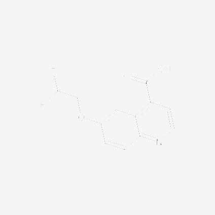 O=C(O)c1ccnc2ccc(OCC(F)F)cc12